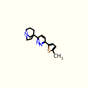 Cc1ccc(-c2ccc(C34CCCN(CC3)C4)nn2)s1